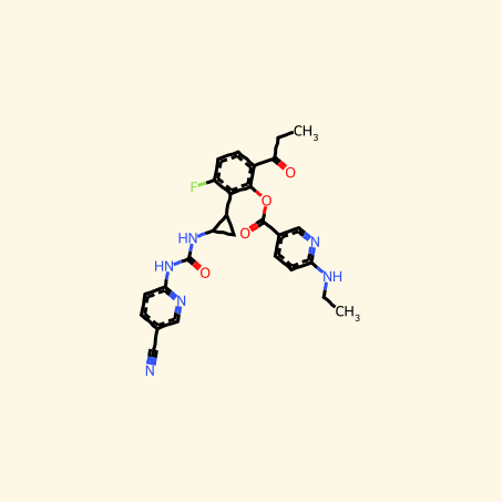 CCNc1ccc(C(=O)Oc2c(C(=O)CC)ccc(F)c2C2CC2NC(=O)Nc2ccc(C#N)cn2)cn1